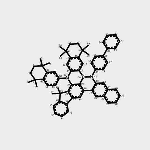 CC1(C)CCC(C)(C)c2cc(N3c4cc5c(cc4B4c6c(cc7c(c63)C(C)(C)c3ccccc3-7)-c3cc6ccccc6cc3N4c3ccc(-c4ccccc4)cc3)C(C)(C)CCC5(C)C)ccc21